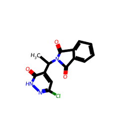 CC(c1cc(Cl)n[nH]c1=O)N1C(=O)c2ccccc2C1=O